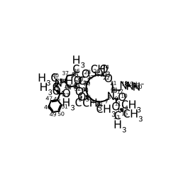 CO[C@]1(C)C[C@@H](C)CN(C(=O)OC(C)(C)C)[C@H](CN=[N+]=[N-])COC(=O)C(C)C(=O)[C@H](C)[C@H]1O[C@@H]1O[C@H](C)C[C@H](N(C)C)[C@H]1OC(=O)c1ccccc1